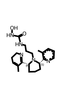 CC1=CCCN=C1[C@H]1CCC[C@@H](c2ncccc2C)N1CCCNC(=O)NO